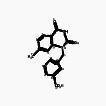 Cc1ccc2c(=O)[nH]c(=O)n(Cc3cccc(C(=O)O)c3)c2c1